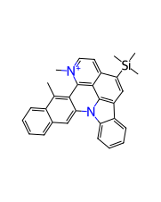 Cc1c2ccccc2cc2c1c1c3c(cc[n+]1C)c([Si](C)(C)C)cc1c4ccccc4n2c13